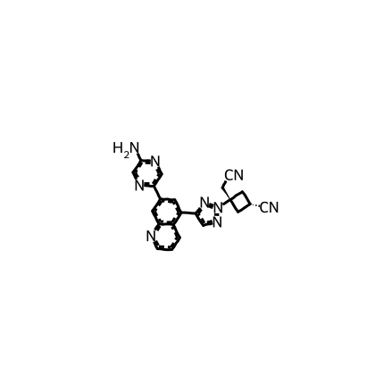 N#CC[C@]1(n2ncc(-c3cc(-c4cnc(N)cn4)cc4ncccc34)n2)C[C@@H](C#N)C1